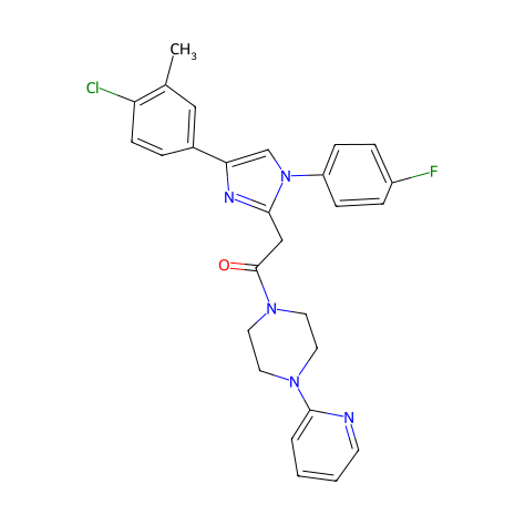 Cc1cc(-c2cn(-c3ccc(F)cc3)c(CC(=O)N3CCN(c4ccccn4)CC3)n2)ccc1Cl